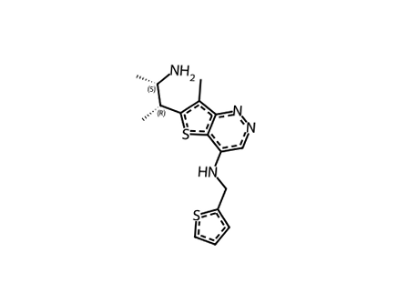 Cc1c([C@H](C)[C@H](C)N)sc2c(NCc3cccs3)cnnc12